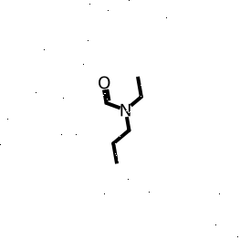 CCCN(C=O)CC